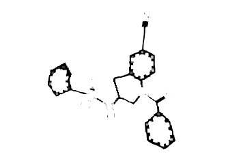 N#Cc1ccc2c(c1)CC(NS(=O)(=O)c1ccccc1)CN2C(=O)c1ccccc1